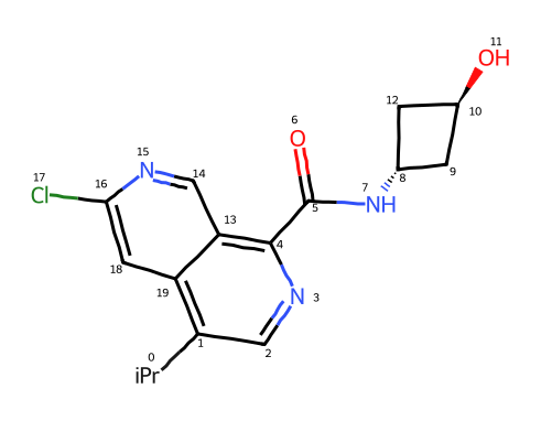 CC(C)c1cnc(C(=O)N[C@H]2C[C@H](O)C2)c2cnc(Cl)cc12